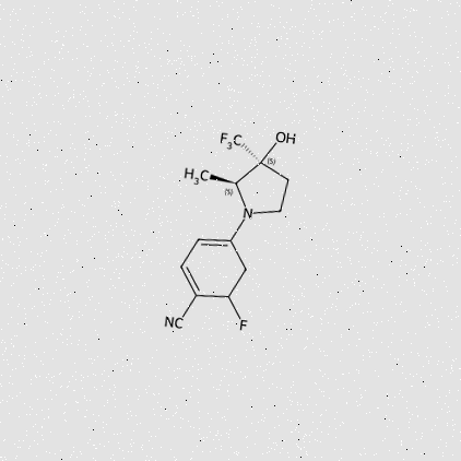 C[C@@H]1N(C2=CC=C(C#N)C(F)C2)CC[C@@]1(O)C(F)(F)F